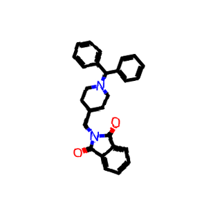 O=C1c2ccccc2C(=O)N1CC1CCN(C(c2ccccc2)c2ccccc2)CC1